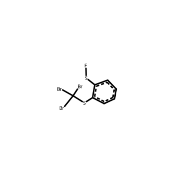 FSc1ccccc1SC(Br)(Br)Br